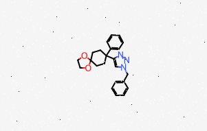 c1ccc(Cn2cc(C3(c4ccccc4)CCC4(CC3)OCCO4)nn2)cc1